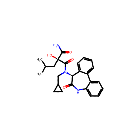 CC(C)C[C@](O)(C(N)=O)C(=O)N(CC1CC1)[C@@H]1C(=O)Nc2ccccc2-c2ccccc21